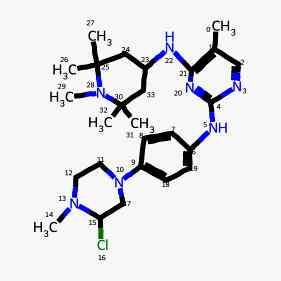 Cc1cnc(Nc2ccc(N3CCN(C)C(Cl)C3)cc2)nc1NC1CC(C)(C)N(C)C(C)(C)C1